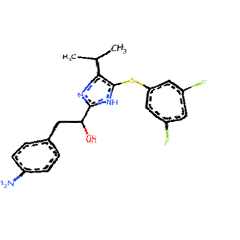 CC(C)c1nc(C(O)Cc2ccc(N)cc2)[nH]c1Sc1cc(F)cc(F)c1